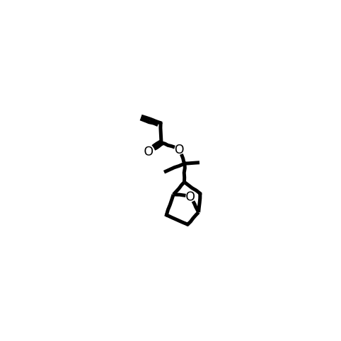 C=CC(=O)OC(C)(C)C1CC2CCC1O2